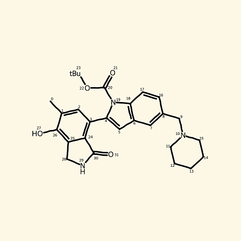 Cc1cc(-c2cc3cc(CN4CCCCC4)ccc3n2C(=O)OC(C)(C)C)c2c(c1O)CNC2=O